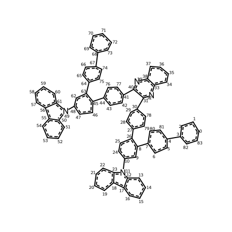 c1ccc(-c2ccc(-c3cc(-n4c5ccccc5c5ccccc54)ccc3-c3ccc(-c4nc5ccccc5nc4-c4ccc(-c5ccc(-n6c7ccccc7c7ccccc76)cc5-c5ccc(-c6ccccc6)cc5)cc4)cc3)cc2)cc1